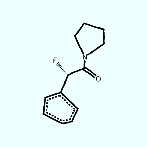 O=C([C@@H](F)c1ccccc1)N1CCCC1